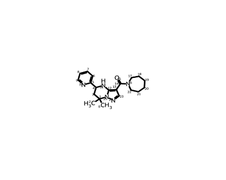 CC1(C)CC(c2ccccn2)Nc2c(C(=O)N3CCCCCC3)cnn21